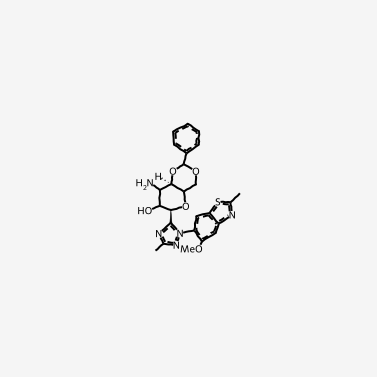 COc1cc2nc(C)sc2cc1-n1nc(C)nc1[C@@H]1OC2COC(c3ccccc3)O[C@@H]2C(N)C1O